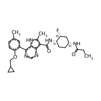 CCC(=O)N[C@@H]1CC[C@H](NC(=O)c2c(C)[nH]c3c(-c4cc(C)ccc4OCC4CC4)ncnc23)[C@H](F)C1